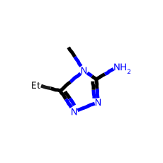 CCc1nnc(N)n1C